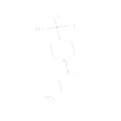 CC(C)(C)C1CCN(C(=O)CCN)CC1